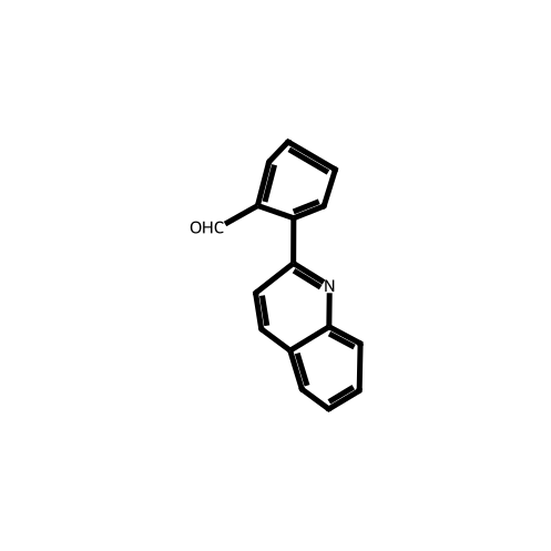 O=Cc1ccccc1-c1ccc2ccccc2n1